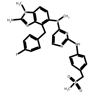 CN(c1ccnc(Nc2ccc(CS(C)(=O)=O)cc2)n1)c1ccc2c(nc(N)n2C)c1Cc1ccc(F)cc1